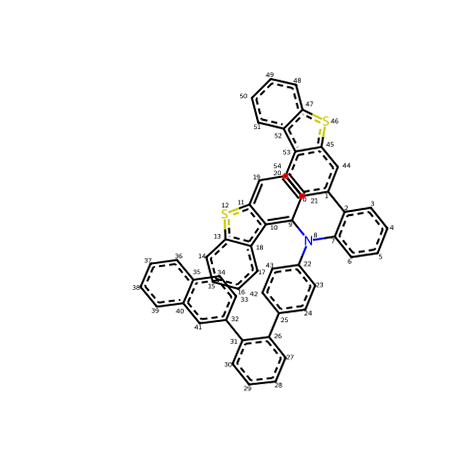 c1c(-c2ccccc2N(C2=c3c(sc4ccccc34)=CCC2)c2ccc(-c3ccccc3-c3ccc4ccccc4c3)cc2)cc2sc3ccccc3c2c#1